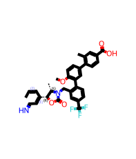 C/C=C\C(=C/C=N)[C@H]1OC(=O)N(Cc2cc(C(F)(F)F)ccc2-c2cc(-c3ccc(C(=O)O)cc3C)ccc2OC)[C@H]1C